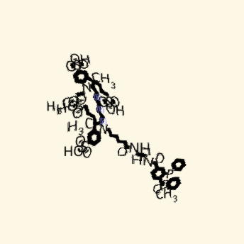 COCC[N+]1=C(/C=C/C=C/C=C2/N(CCCCCC(=O)NCCNC(=O)c3ccc(C(=O)OC)c(P(c4ccccc4)c4ccccc4)c3)c3ccc(S(=O)(=O)O)cc3C2(C)CCCS(=O)(=O)O)C(C)(CCCS(=O)(=O)O)c2cc(S(=O)(=O)O)ccc21